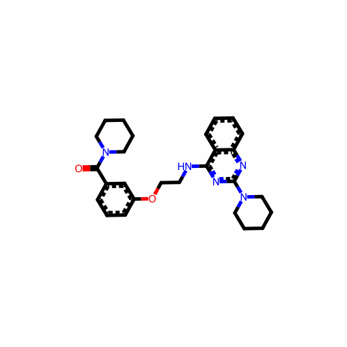 O=C(c1cccc(OCCNc2nc(N3CCCCC3)nc3ccccc23)c1)N1CCCCC1